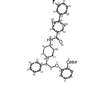 COc1ccccc1OCC(c1ccccc1)N1CCC(NC(=O)c2cnc(-c3cccc(F)c3)nc2)CC1